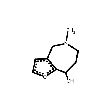 CN1CCC(O)c2occc2C1